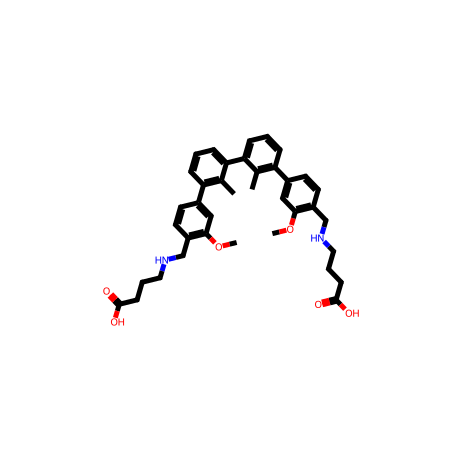 COc1cc(-c2cccc(-c3cccc(-c4ccc(CNCCCC(=O)O)c(OC)c4)c3C)c2C)ccc1CNCCCC(=O)O